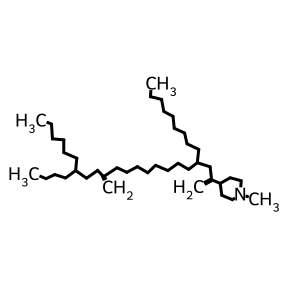 C=C(CCCCCCCCC(CCCCCCCCC)CC(=C)C1CCN(C)CC1)CCC(CCCC)CCCCCC